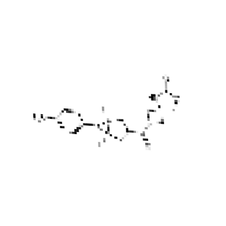 O=C1NC2(CO1)CC(C(=O)N1C[C@@H]3[C@H](C1)[C@@H]3c1ccc(C(F)(F)F)cc1)C2